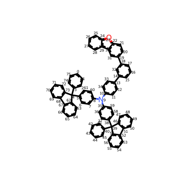 c1ccc(C2(c3ccc(N(c4ccc(-c5cccc(-c6ccc7oc8ccccc8c7c6)c5)cc4)c4ccc(C5(c6ccccc6)c6ccccc6-c6ccccc65)cc4)cc3)c3ccccc3-c3ccccc32)cc1